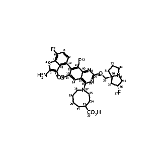 N#Cc1c(N)sc2c(F)ccc(-c3c(Cl)cc4c(N5CCCCC(C(=O)O)CC5)nc(OC[C@@]56CCCN5C[C@H](F)C6)nc4c3F)c12